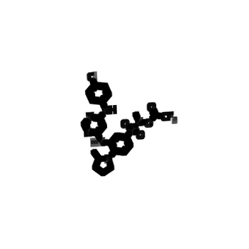 CC1CCCN1c1ccc(S(=O)(=O)N(C)OC(=O)C(F)(F)F)cc1Nc1cc(Nc2ccc(Cl)cc2)ncn1